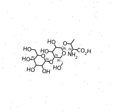 CC(O[C@@H]1O[C@H](CO)[C@@H](O[C@@H]2OC(CO)[C@H](O)C(O)C2O)C(O)C1O)[C@H](N)C(=O)O